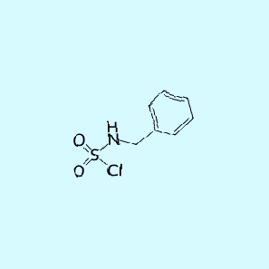 O=S(=O)(Cl)NCc1ccccc1